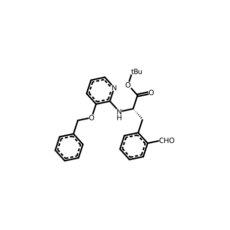 CC(C)(C)OC(=O)[C@H](Cc1ccccc1C=O)Nc1ncccc1OCc1ccccc1